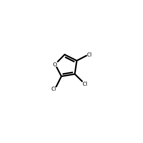 Clc1coc(Cl)c1Cl